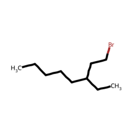 CCCCCC(CC)CCBr